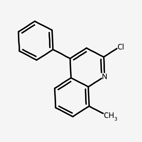 Cc1cccc2c(-c3ccccc3)cc(Cl)nc12